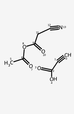 C#CC(=O)O.CC(=O)OC(=O)CC#N